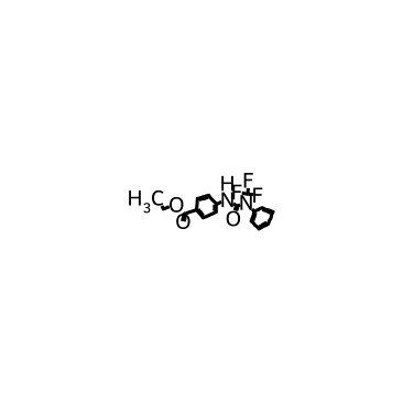 CCOC(=O)c1ccc(NC(=O)N(c2ccccc2)C(F)(F)F)cc1